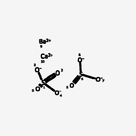 O=S(=O)([O-])[O-].O=S([O-])[O-].[Ba+2].[Ca+2]